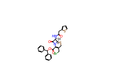 O=C(Cc1cccs1)N[C@@H]1C(=O)N2C(C(=O)OC(c3ccccc3)c3ccccc3)=C(CBr)CS[C@H]12